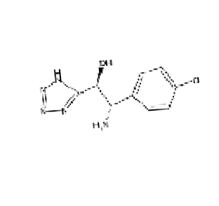 N[C@@H](c1ccc(Cl)cc1)[C@H](O)c1nnn[nH]1